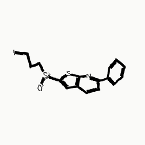 [O-][S+](CCCI)c1cc2ccc(-c3ccccc3)nc2s1